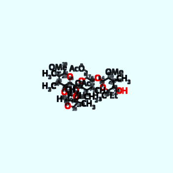 CCC1(C)O[C@@H](O[C@@H]2C(COC(C)=O)O[C@@H](O[C@H]3C(C)[C@H]4OCC3(C)O[C@H]4O[C@@H]3C(COC(C)=O)O[C@H](OC)C(C)[C@H]3C)C(C)[C@H]2C)C(OC)[C@@H](C)[C@@H]1O